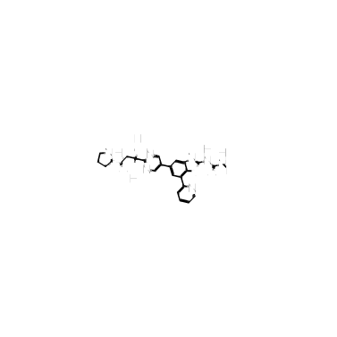 CCNC(=O)Nc1nc2cc(-c3cnc(C(C)(C)CC(=O)[C@@H]4CCCN4)nc3)cc(-c3ccccn3)c2s1